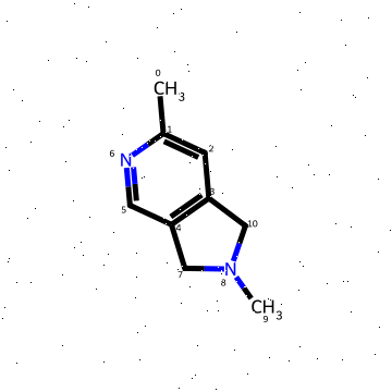 Cc1cc2c(cn1)CN(C)C2